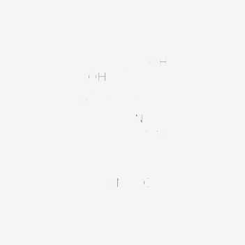 CC[C@@](C)(C(=O)O)c1c(C)n(C(=O)c2ccc(Cl)c(Cl)c2)c2ccc(O)c(F)c12